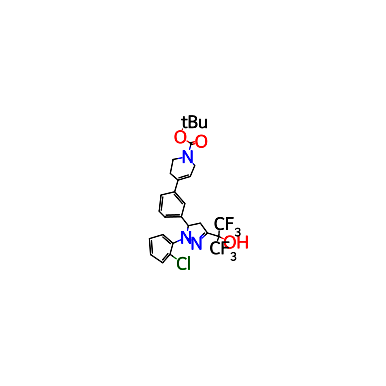 CC(C)(C)OC(=O)N1CC=C(c2cccc(C3CC(C(O)(C(F)(F)F)C(F)(F)F)=NN3c3ccccc3Cl)c2)CC1